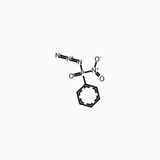 [N-]=[N+]=NP(=O)(c1ccccc1)[N+](=O)[O-]